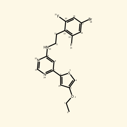 CCOc1csc(-c2cc(NCCc3c(F)cc(Br)cc3F)ncn2)c1